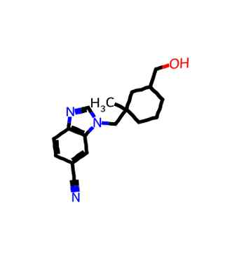 CC1(Cn2cnc3ccc(C#N)cc32)CCCC(CO)C1